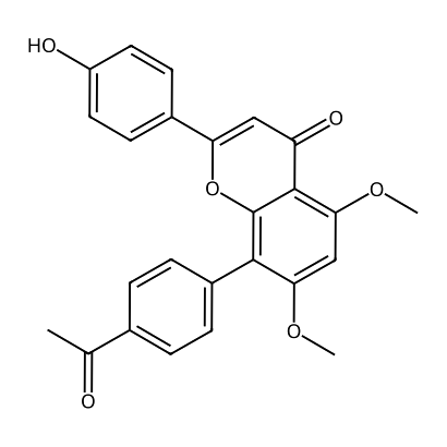 COc1cc(OC)c2c(=O)cc(-c3ccc(O)cc3)oc2c1-c1ccc(C(C)=O)cc1